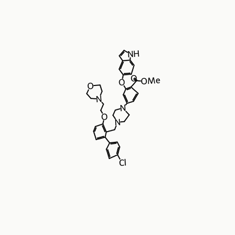 COC(=O)c1ccc(N2CCN(Cc3c(OCCN4CCOCC4)cccc3-c3ccc(Cl)cc3)CC2)cc1Oc1ccc2[nH]ccc2c1